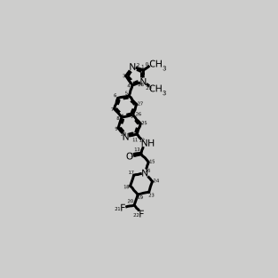 Cc1ncc(-c2ccc3cnc(NC(=O)CN4CCC(C(F)F)CC4)cc3c2)n1C